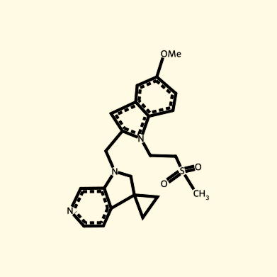 COc1ccc2c(c1)cc(CN1CC3(CC3)c3ccncc31)n2CCS(C)(=O)=O